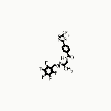 CC(CNC(=O)c1ccc(-c2noc(C(F)(F)F)n2)cc1)=NOCc1c(F)c(F)c(F)c(F)c1F